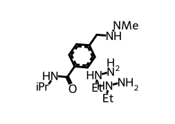 CCNN.CCNN.CNNCc1ccc(C(=O)NC(C)C)cc1